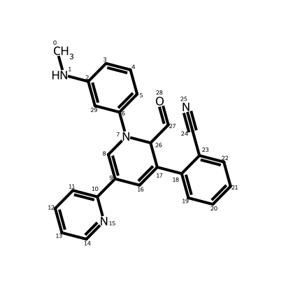 CNc1cccc(N2C=C(c3ccccn3)C=C(c3ccccc3C#N)C2C=O)c1